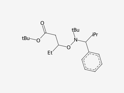 CCC(CC(=O)OC(C)(C)C)ON(C(c1ccccc1)C(C)C)C(C)(C)C